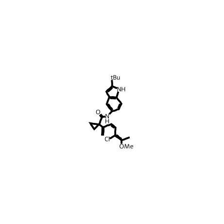 C=C(/C=C\C(Cl)=C(/C)OC)C1(C(=O)Nc2ccc3[nH]c(C(C)(C)C)cc3c2)CC1